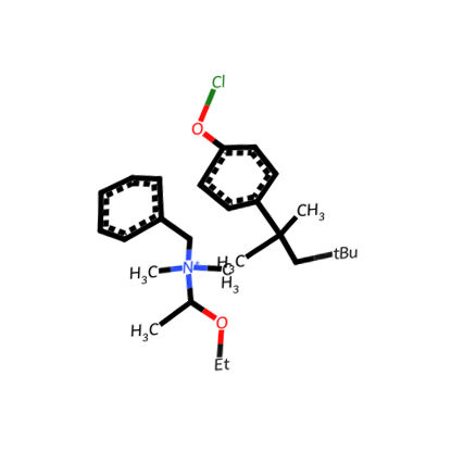 CC(C)(C)CC(C)(C)c1ccc(OCl)cc1.CCOC(C)[N+](C)(C)Cc1ccccc1